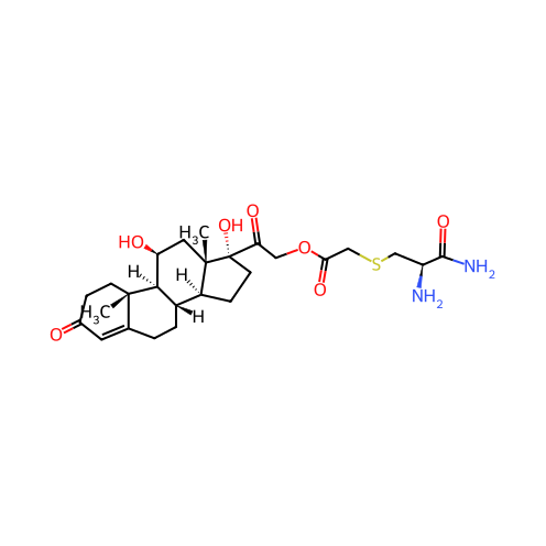 C[C@]12CCC(=O)C=C1CC[C@@H]1[C@@H]2[C@@H](O)C[C@@]2(C)[C@H]1CC[C@]2(O)C(=O)COC(=O)CSC[C@H](N)C(N)=O